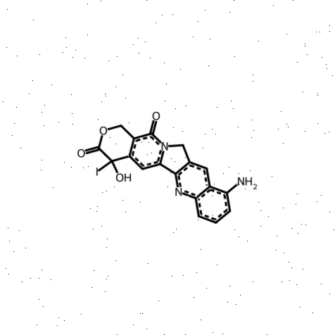 Nc1cccc2nc3c(cc12)Cn1c-3cc2c(c1=O)COC(=O)C2(O)I